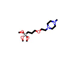 CO[Si](CCCOCCN1CCN(C)CC1)(OC)OC